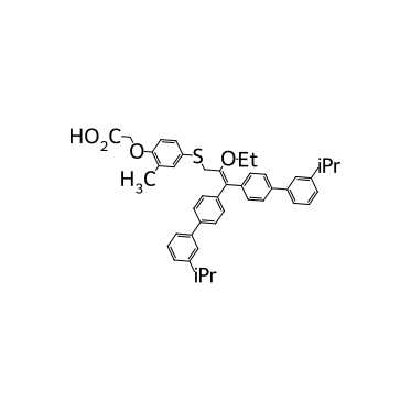 CCOC(CSc1ccc(OCC(=O)O)c(C)c1)=C(c1ccc(-c2cccc(C(C)C)c2)cc1)c1ccc(-c2cccc(C(C)C)c2)cc1